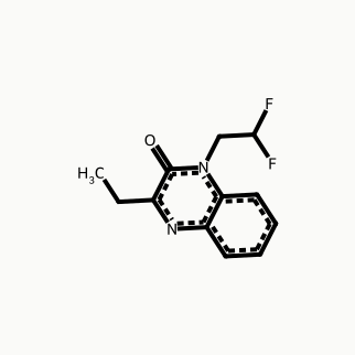 CCc1nc2ccccc2n(CC(F)F)c1=O